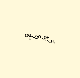 CCCCC(O)CCCOc1ccc(/C=C/C(=O)Oc2ccccc2)cc1